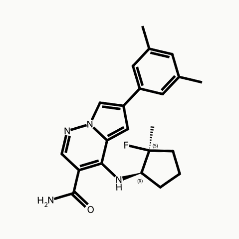 Cc1cc(C)cc(-c2cc3c(N[C@@H]4CCC[C@]4(C)F)c(C(N)=O)cnn3c2)c1